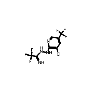 N=C(NNc1ncc(C(F)(F)F)cc1Cl)C(F)(F)F